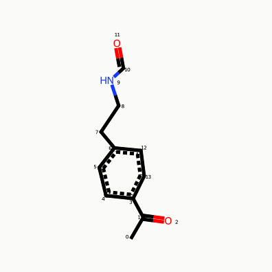 CC(=O)c1ccc(CCNC=O)cc1